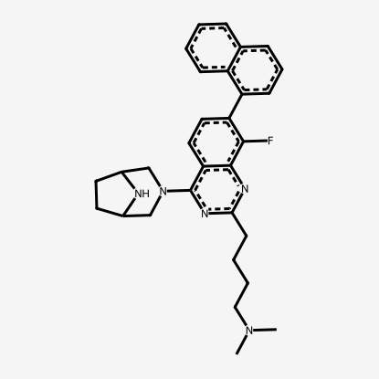 CN(C)CCCCc1nc(N2CC3CCC(C2)N3)c2ccc(-c3cccc4ccccc34)c(F)c2n1